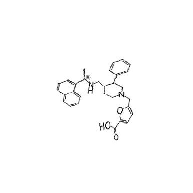 C[C@@H](NCC1CCN(Cc2ccc(C(=O)O)o2)CC1c1ccccc1)c1cccc2ccccc12